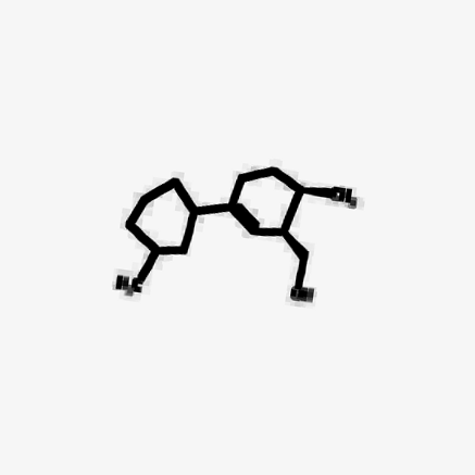 CC1CCCC(C2=C[C@H](CO)[C@H](C)CC2)C1